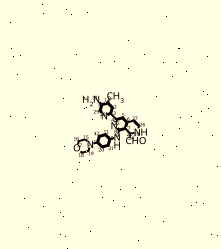 Cc1cc(-c2cc3c(c(Nc4ccc(N5CCOCC5)cc4)n2)C(C=O)NC=C3)ncc1N